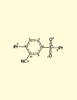 CC(C)c1ccc(S(=O)(=O)C(C)C)cc1C#N